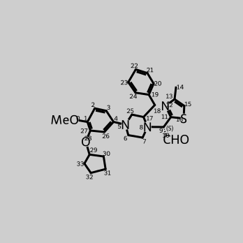 COc1ccc(N2CCN([C@@H](C=O)c3nc(C)cs3)C(Cc3ccccc3)C2)cc1OC1CCCC1